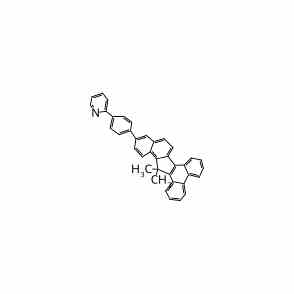 CC1(C)c2c(ccc3cc(-c4ccc(-c5ccccn5)cc4)ccc23)-c2c1c1ccccc1c1ccccc21